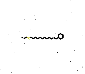 CCCSCCCCCCCCCCCCC1CCCCC1